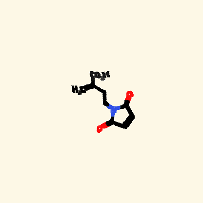 C=C(CCN1C(=O)C=CC1=O)C(=O)O